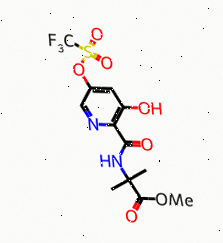 COC(=O)C(C)(C)NC(=O)c1ncc(OS(=O)(=O)C(F)(F)F)cc1O